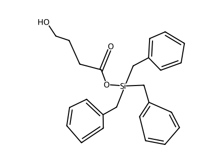 O=C(CCCO)O[Si](Cc1ccccc1)(Cc1ccccc1)Cc1ccccc1